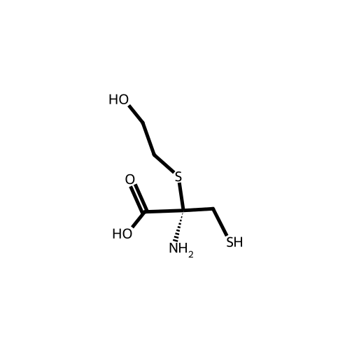 N[C@@](CS)(SCCO)C(=O)O